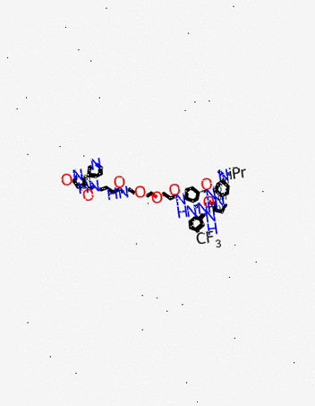 CC(C)N(C)[C@@H]1CC[C@H](N2CC[C@H](Nc3ncnc4ccc(C(F)(F)F)cc34)C2=O)[C@H](NC(=O)[C@H]2CC[C@@H](NC(=O)CCOCCOCCNC(=O)CCCNC(=O)[C@H]3CC(=O)N(C)[C@@H]3c3cccnc3)CC2)C1